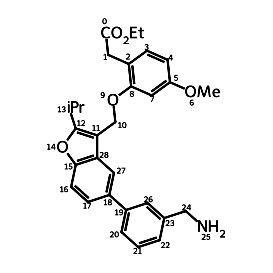 CCOC(=O)Cc1ccc(OC)cc1OCc1c(C(C)C)oc2ccc(-c3cccc(CN)c3)cc12